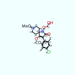 CCOC(=O)OC1=C(c2cc(C)c(Cl)cc2C)C(=O)N(OCO)C12CCN(OC)CC2